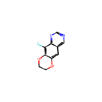 Fc1c2c(cc3cncnc13)OCCO2